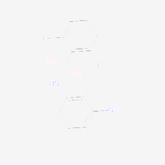 Nc1c(F)ccc(NS(=O)(=O)c2c(F)cccc2F)c1F